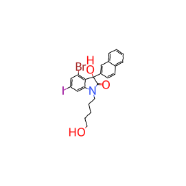 O=C1N(CCCCCO)c2cc(I)cc(Br)c2C1(O)c1ccc2ccccc2c1